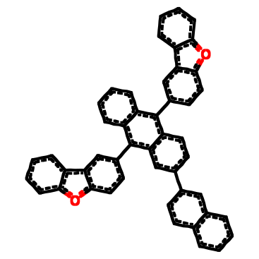 c1ccc2cc(-c3ccc4c(-c5ccc6oc7ccccc7c6c5)c5ccccc5c(-c5ccc6oc7ccccc7c6c5)c4c3)ccc2c1